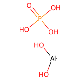 O=P(O)(O)O.[OH][Al][OH]